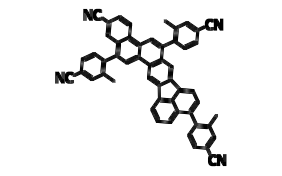 Cc1cc(C#N)ccc1-c1ccc2c3c(cccc13)-c1cc3c(cc1-2)c(-c1ccc(C#N)cc1C)cc1c2ccc(C#N)cc2c(-c2ccc(C#N)cc2C)cc31